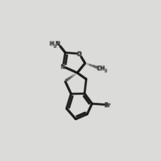 C[C@H]1OC(N)=N[C@@]12Cc1cccc(Br)c1C2